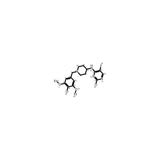 CCOc1cc(CN2CCC(Nc3nc(Cl)ncc3F)CC2)cc(OCC)c1Cl